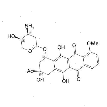 COc1cccc2c1C(=O)c1c(O)c3c(c(O)c1C2=O)C[C@@](O)(C(C)=O)C[C@@H]3OC1C[C@H](N)[C@H](O)CO1